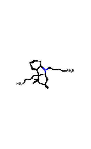 C=C1CC2N(CCCCS(=O)(=O)O)c3ccccc3C2(CCCC(=O)O)C(C)(C)C1